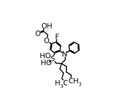 CCCCC1(CCCC)CN(c2ccccc2)c2cc(F)c(OCC(=O)O)cc2S(O)(O)C1